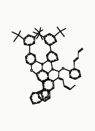 C=C/C=C/c1ccccc1OC(C(=C/C=C\C)c1ccc2c(c1)oc1ccccc12)N1c2ccc(-c3cc(C(C)(C)C)cc(C(C)(C)C)c3)cc2B2c3cc(-c4cc(C(C)(C)C)cc(C(C)(C)C)c4)ccc3Oc3cc(-c4ccccc4)cc1c32